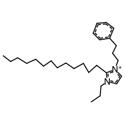 CCCCCCCCCCCCCc1n(CCC)cc[n+]1CCCc1ccccc1